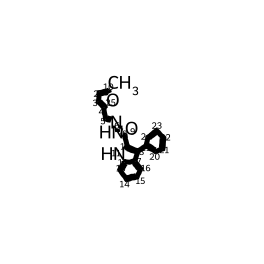 Cc1ccc(C=NNC(=O)c2[nH]c3ccccc3c2-c2ccccc2)o1